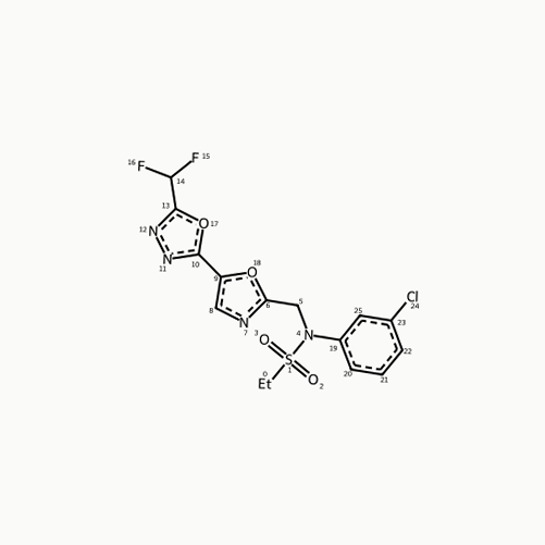 CCS(=O)(=O)N(Cc1ncc(-c2nnc(C(F)F)o2)o1)c1cccc(Cl)c1